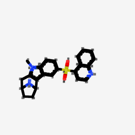 Cn1c2c(c3cc(S(=O)(=O)c4ccnc5ccccc45)ccc31)C1CCC(C2)N1